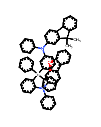 CC1(C)c2ccccc2-c2ccc(N(c3ccccc3)c3cccc([Si](c4ccccc4)(c4ccccc4)c4ccccc4N(c4ccccc4)c4ccc5c(c4)oc4ccccc45)c3)cc21